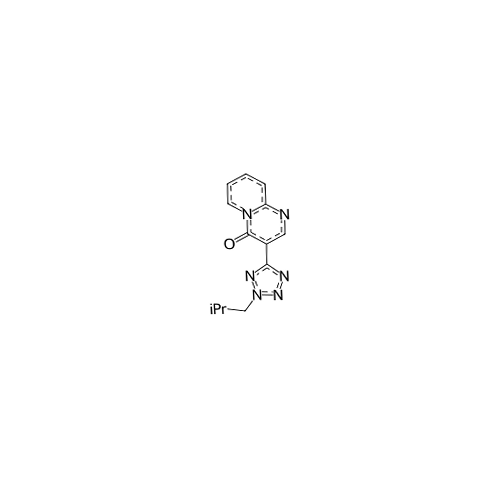 CC(C)Cn1nnc(-c2cnc3ccccn3c2=O)n1